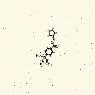 C=C[Si](C)(C=C)c1ccc(C(=O)OO[C]2CCCC2)cc1